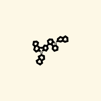 c1ccc2cc(-n3c4ccccc4c4c(-c5ccc6c(c5)c5c7ccccc7ccc5n6-c5ccc6ccccc6c5)cccc43)ccc2c1